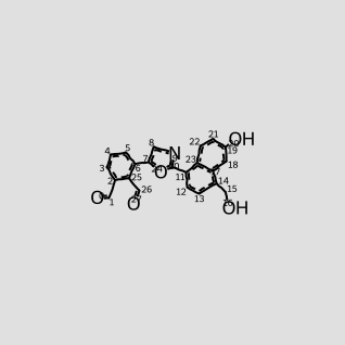 O=Cc1cccc(-c2cnc(-c3ccc(CO)c4cc(O)ccc34)o2)c1C=O